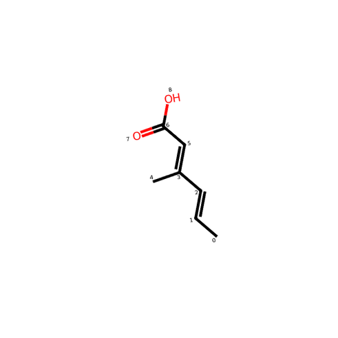 C/C=C/C(C)=C/C(=O)O